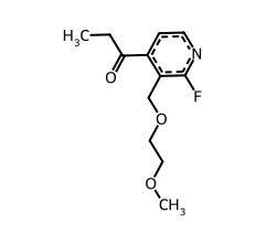 CCC(=O)c1ccnc(F)c1COCCOC